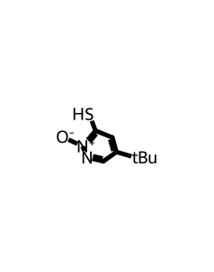 CC(C)(C)c1cn[n+]([O-])c(S)c1